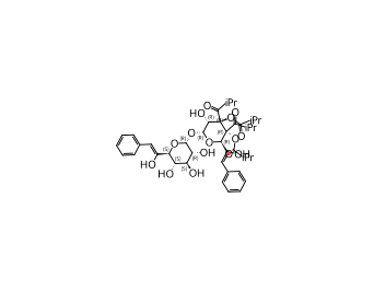 CC(C)C(=O)O[C@]1(C(=O)C(C)C)[C@@H](C(O)=Cc2ccccc2)O[C@H](O[C@H]2O[C@H](C(O)=Cc3ccccc3)[C@@H](O)[C@H](O)[C@H]2O)[C@H](O)[C@]1(OC(=O)C(C)C)C(=O)C(C)C